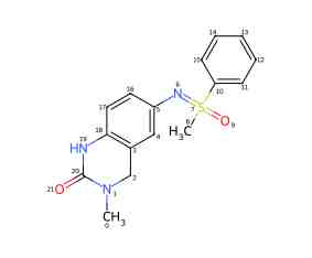 CN1Cc2cc(N=S(C)(=O)c3ccccc3)ccc2NC1=O